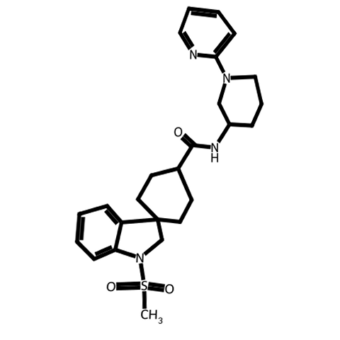 CS(=O)(=O)N1CC2(CCC(C(=O)NC3CCCN(c4ccccn4)C3)CC2)c2ccccc21